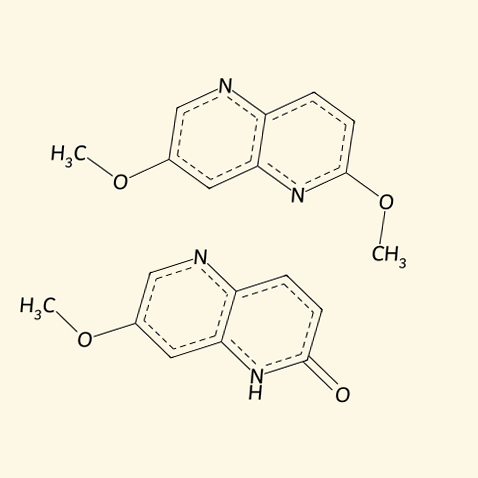 COc1cnc2ccc(=O)[nH]c2c1.COc1cnc2ccc(OC)nc2c1